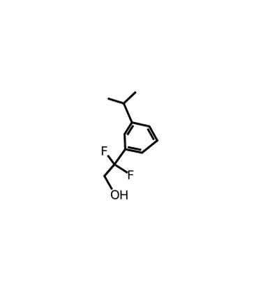 CC(C)c1cccc(C(F)(F)CO)c1